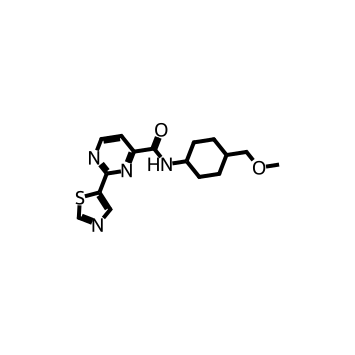 COCC1CCC(NC(=O)c2ccnc(-c3cncs3)n2)CC1